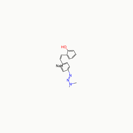 CN(C)/N=N/c1ccc(/C=C\c2ccccc2O)cc1.[NaH]